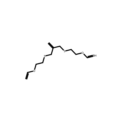 B=COCCSCC(=C)CSCCOC=C